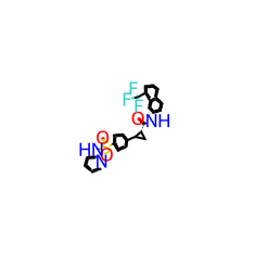 O=C(Nc1ccc2cccc(C(F)(F)F)c2c1)[C@@H]1CC1c1ccc(S(=O)(=O)Nc2ccccn2)cc1